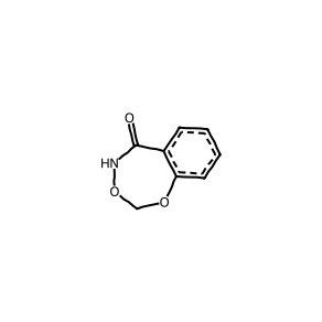 O=C1NOCOc2ccccc21